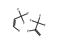 C=C(F)C(F)(F)F.F/C=C\C(F)(F)F